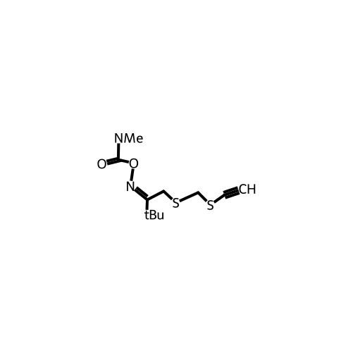 C#CSCSCC(=NOC(=O)NC)C(C)(C)C